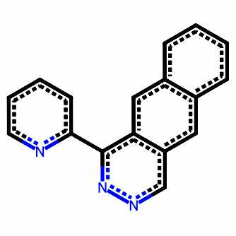 c1ccc(-c2nncc3cc4ccccc4cc23)nc1